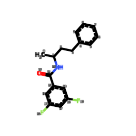 CC(CCc1ccccc1)NC(=O)c1cc(F)cc(F)c1